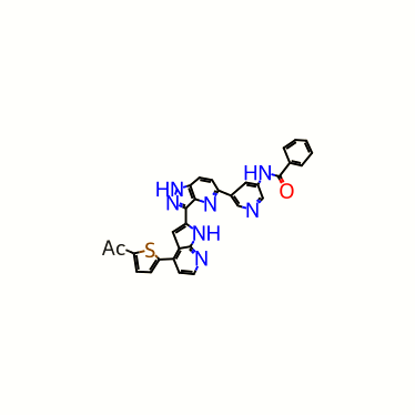 CC(=O)c1ccc(-c2ccnc3[nH]c(-c4n[nH]c5ccc(-c6cncc(NC(=O)c7ccccc7)c6)nc45)cc23)s1